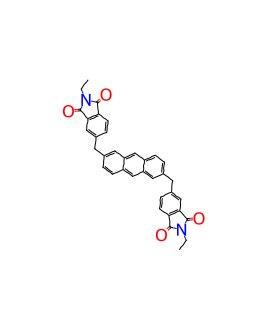 CCN1C(=O)c2ccc(Cc3ccc4cc5cc(Cc6ccc7c(c6)C(=O)N(CC)C7=O)ccc5cc4c3)cc2C1=O